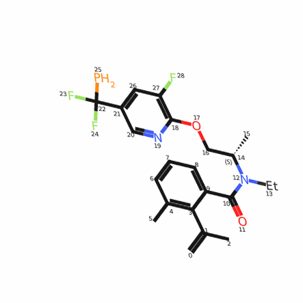 C=C(C)c1c(C)cccc1C(=O)N(CC)[C@@H](C)COc1ncc(C(F)(F)P)cc1F